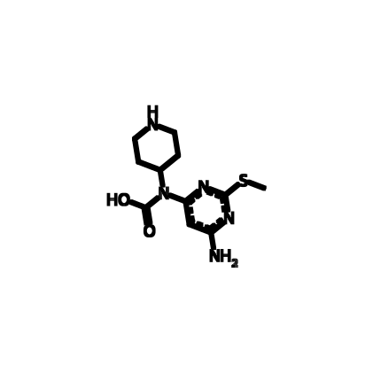 CSc1nc(N)cc(N(C(=O)O)C2CCNCC2)n1